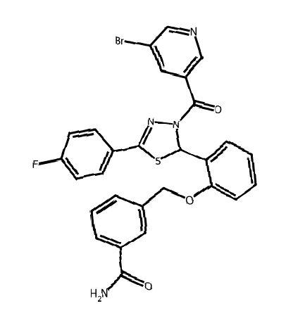 NC(=O)c1cccc(COc2ccccc2C2SC(c3ccc(F)cc3)=NN2C(=O)c2cncc(Br)c2)c1